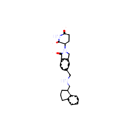 O=C1CCC(N2Cc3cc(CNCC4CCCc5ccccc54)ccc3C2=O)C(=O)N1